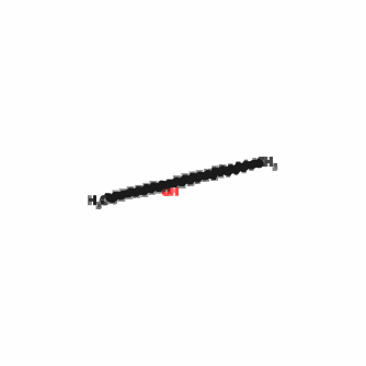 CCCCCCCCCCCCCCCCCCCCCCCCCC(O)CCCCCCCCCCCCCCCC